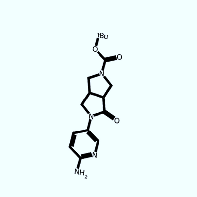 CC(C)(C)OC(=O)N1CC2CN(c3ccc(N)nc3)C(=O)C2C1